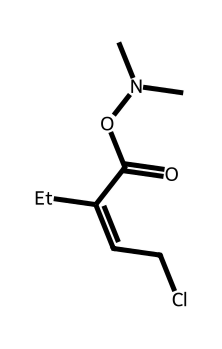 CCC(=CCCl)C(=O)ON(C)C